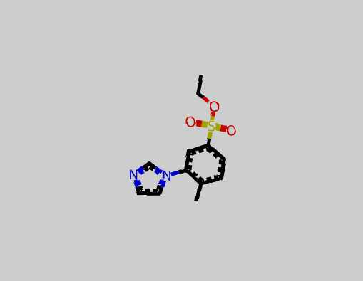 CCOS(=O)(=O)c1ccc(C)c(-n2ccnc2)c1